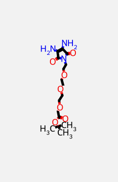 CC(C)(C)OC(=O)COCCOCCOCCN1C(=O)C(N)=C(N)C1=O